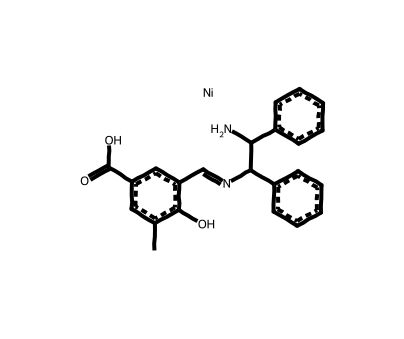 Cc1cc(C(=O)O)cc(C=NC(c2ccccc2)C(N)c2ccccc2)c1O.[Ni]